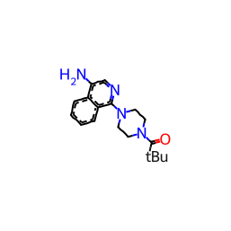 CC(C)(C)C(=O)N1CCN(c2ncc(N)c3ccccc23)CC1